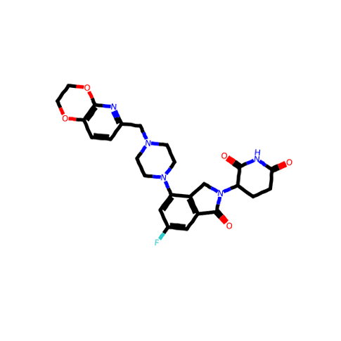 O=C1CCC(N2Cc3c(cc(F)cc3N3CCN(Cc4ccc5c(n4)OCCO5)CC3)C2=O)C(=O)N1